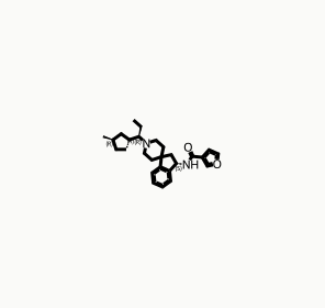 CC[C@H]([C@@H]1CC[C@@H](C)C1)N1CCC2(CC1)C[C@H](NC(=O)c1ccoc1)c1ccccc12